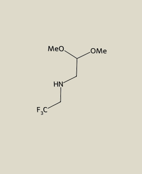 COC(CNCC(F)(F)F)OC